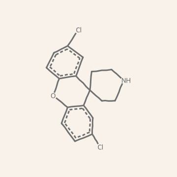 Clc1ccc2c(c1)C1(CCNCC1)c1cc(Cl)ccc1O2